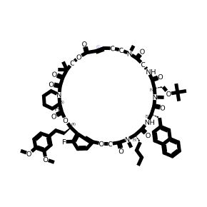 CCCC[C@H]1C(=O)N[C@@H](Cc2ccc3ccccc3c2)C(=O)N(C)[C@@H](COC(C)(C)C)C(=O)NCC(=O)N(C)CC/C=C/C(=O)OCC(C)(C)C(=O)C(=O)N2CCCC[C@H]2C(=O)O[C@H](CCc2ccc(OC)c(OC)c2)c2cc(ccc2F)OCC(=O)N1C